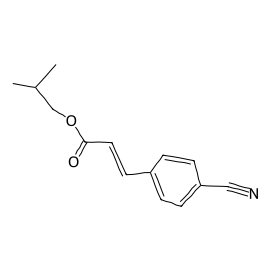 CC(C)COC(=O)C=Cc1ccc(C#N)cc1